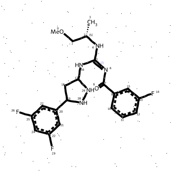 COC[C@H](C)N/C(=N/C(=O)c1cccc(F)c1)NC1CC(c2cc(F)cc(F)c2)NN1